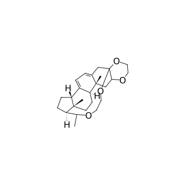 CC1OCCOC23CC4=CC=C5[C@H]6CC[C@H]1[C@@]6(C)CC[C@@H]5[C@@]4(C)CC2OCCO3